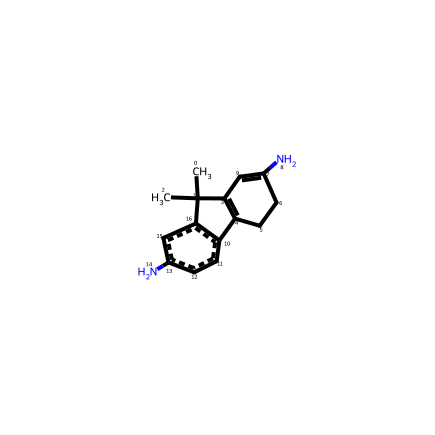 CC1(C)C2=C(CCC(N)=C2)c2ccc(N)cc21